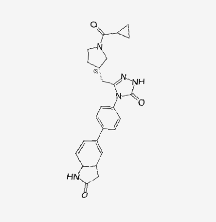 O=C1CC2C=C(c3ccc(-n4c(C[C@@H]5CCN(C(=O)C6CC6)C5)n[nH]c4=O)cc3)C=CC2N1